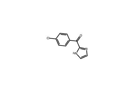 O=C(c1ccc(Cl)cc1)c1ncc[nH]1